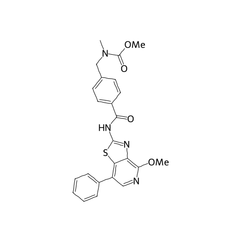 COC(=O)N(C)Cc1ccc(C(=O)Nc2nc3c(OC)ncc(-c4ccccc4)c3s2)cc1